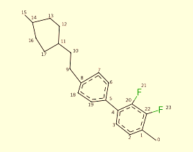 Cc1ccc(-c2ccc(CCC3CCC(C)CC3)cc2)c(F)c1F